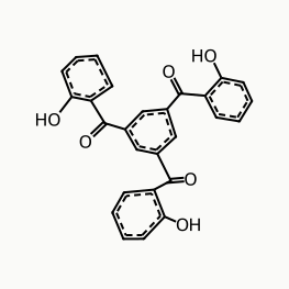 O=C(c1cc(C(=O)c2ccccc2O)cc(C(=O)c2ccccc2O)c1)c1ccccc1O